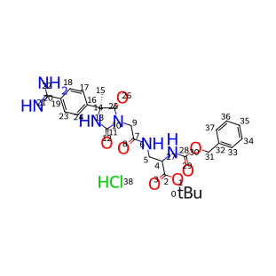 CC(C)(C)OC(=O)C(CNC(=O)CN1C(=O)N[C@@](C)(c2ccc(C(=N)N)cc2)C1=O)NC(=O)OCc1ccccc1.Cl